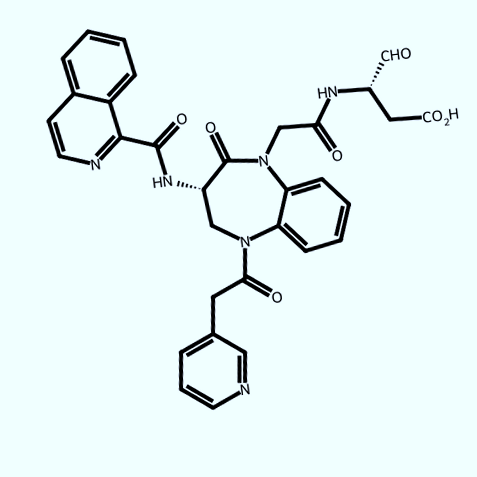 O=C[C@H](CC(=O)O)NC(=O)CN1C(=O)[C@@H](NC(=O)c2nccc3ccccc23)CN(C(=O)Cc2cccnc2)c2ccccc21